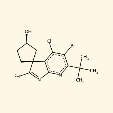 [2H]C1=Nc2nc(C(C)(C)C)c(Br)c(Cl)c2[C@]12CC[C@@H](O)C2